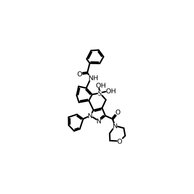 O=C(Nc1cccc2c1S(O)(O)Cc1c(C(=O)N3CCOCC3)nn(-c3ccccc3)c1-2)c1ccccc1